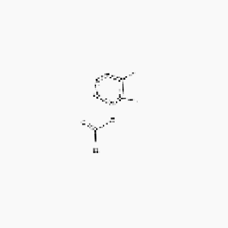 CCC(=O)Oc1cc[c]c(C)c1C